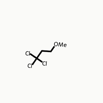 COCCC(Cl)(Cl)Cl